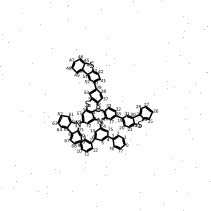 c1ccc(-c2cc(-c3ccccc3)cc(N3c4cc(-c5ccc6sc7ccccc7c6c5)ccc4B4c5ccc(-c6ccc7sc8ccccc8c7c6)cc5Sc5cc(-n6c7ccccc7c7ccccc76)cc3c54)c2)cc1